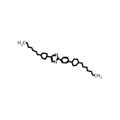 CCCCCCCC1CCC(c2ccc(-c3ncc(C4CCC(CCCCCCC)CC4)cn3)cc2)CC1